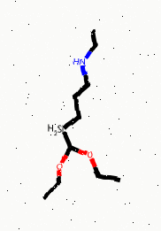 CCNCCC[SiH2]C(OCC)OCC